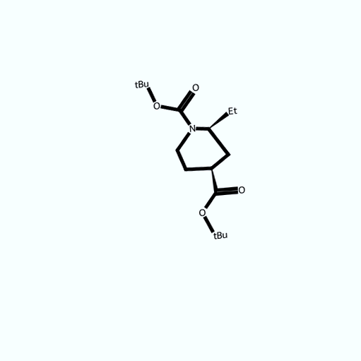 CC[C@H]1C[C@@H](C(=O)OC(C)(C)C)CCN1C(=O)OC(C)(C)C